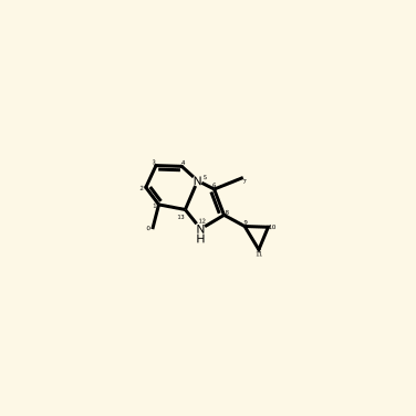 CC1=CC=CN2C(C)=C(C3CC3)NC12